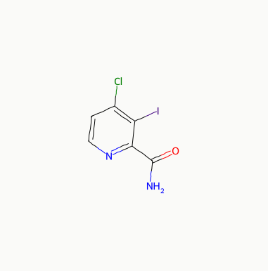 NC(=O)c1nccc(Cl)c1I